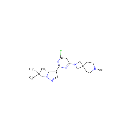 CC(=O)N1CCC2(CC1)CN(c1cc(Cl)nc(-c3cnn(CC(C)(C)[N+](=O)[O-])c3)n1)C2